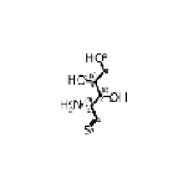 N[C@@H](C=S)[C@H](O)[C@@H](O)CO